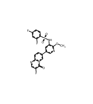 COc1ncc(-c2ccc3ncc(F)c(=O)n3c2)cc1NS(=O)(=O)c1ccc(F)cc1F